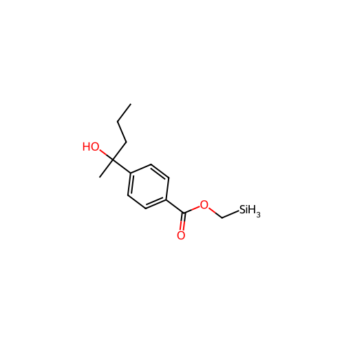 CCCC(C)(O)c1ccc(C(=O)OC[SiH3])cc1